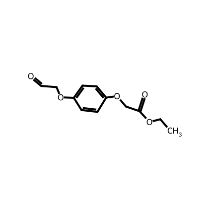 CCOC(=O)COc1ccc(OCC=O)cc1